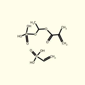 C=C(C)C(=O)OC(C)OP(=O)(O)O.C=CP(=O)(O)O